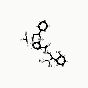 CN(C)C(CNC(=O)c1cnn2c1NC(c1ccccc1)C[C@H]2C(F)(F)F)c1ccccc1Cl